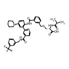 CC(C)C(=O)N[C@@H](CSCc1cccc(C(=O)Nc2ccc(N3CCCCC3)cc2-c2cc(C(=O)NCc3cccc(C(F)(F)F)c3)ccn2)c1)C(=O)O